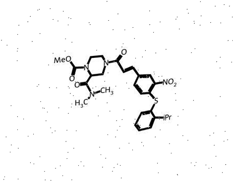 COC(=O)N1CCN(C(=O)C=Cc2ccc(Sc3ccccc3C(C)C)c([N+](=O)[O-])c2)CC1C(=O)N(C)C